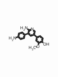 COc1cc(-c2cnc(N)c(-c3ccc(N)cc3)c2)ccc1O